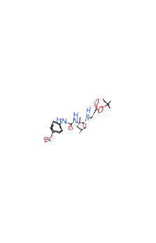 CC(C)CC(C)(NC(=O)Nc1ccc(Br)cc1)C(=O)NCC(=O)OC(C)(C)C